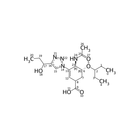 CCC(CC)O[C@@H]1CC(C(=O)O)C=C(n2cc(C(O)CC)nn2)[C@H]1NC(C)=O